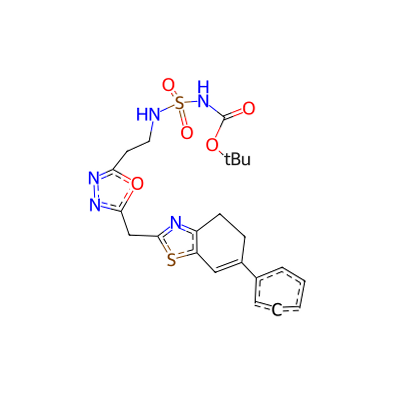 CC(C)(C)OC(=O)NS(=O)(=O)NCCc1nnc(Cc2nc3c(s2)C=C(c2ccccc2)CC3)o1